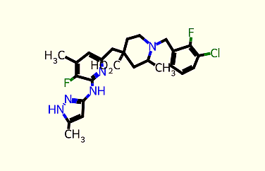 Cc1cc(Nc2nc(CC3(C(=O)O)CCN(Cc4cccc(Cl)c4F)C(C)C3)cc(C)c2F)n[nH]1